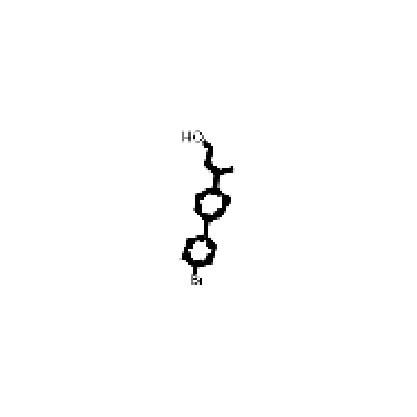 CC(=CCO)c1ccc(-c2ccc(Br)cc2)cc1